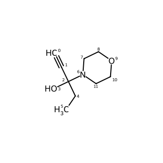 C#CC(O)(CC)N1CCOCC1